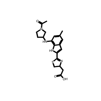 CC(=O)N1CCC(Nc2cc(C)cc3cc(C4=NC(CC(=O)O)CS4)[nH]c23)C1